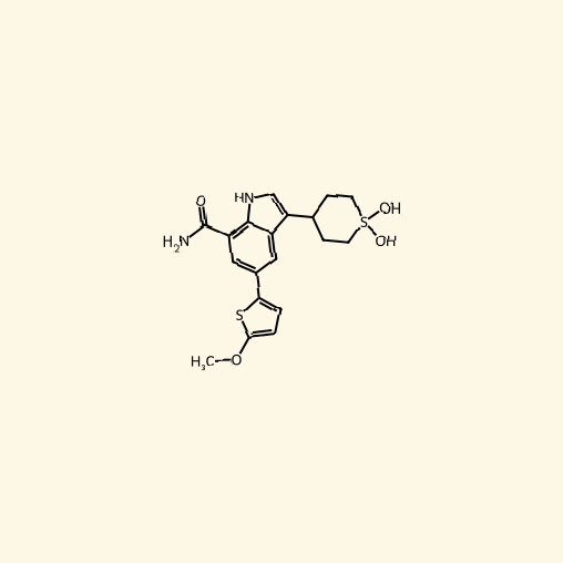 COc1ccc(-c2cc(C(N)=O)c3[nH]cc(C4CCS(O)(O)CC4)c3c2)s1